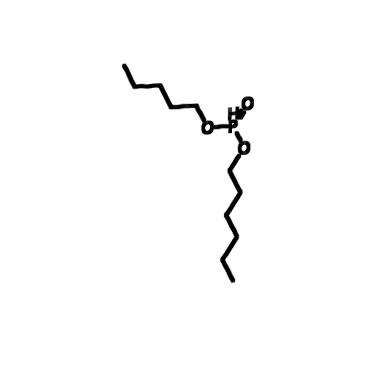 CCCCCCO[PH](=O)OCCCCC